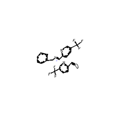 FC(F)(F)c1ccc(/C=N/Cc2ccccc2)nc1.O=Cc1ccc(C(F)(F)F)cn1